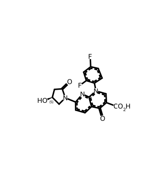 O=C(O)c1cn(-c2ccc(F)cc2F)c2nc(N3C[C@@H](O)CC3=O)ccc2c1=O